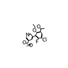 CCOc1c(C(C)=O)cc(Cl)c(F)c1-c1cncc(S(C)(=O)=O)c1